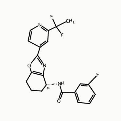 CC(F)(F)c1cc(-c2nc3c(o2)CCC[C@H]3NC(=O)c2cccc(F)c2)ccn1